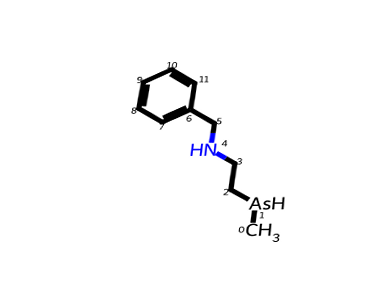 C[AsH]CCNCc1ccccc1